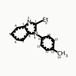 CCc1nc2ccccc2n1-c1ccc(C)cc1